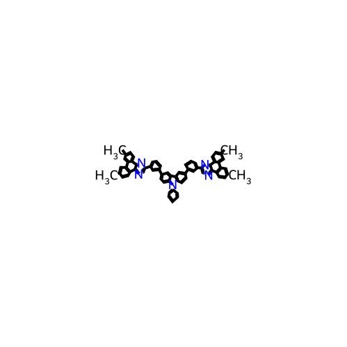 Cc1ccc2c(c1)c1cc(C)ccc1c1nc(-c3cccc(-c4ccc5c(c4)c4cc(-c6cccc(-c7cnc8c9ccc(C)cc9c9cc(C)ccc9c8n7)c6)ccc4n5-c4ccccc4)c3)cnc21